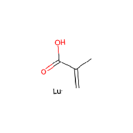 C=C(C)C(=O)O.[Lu]